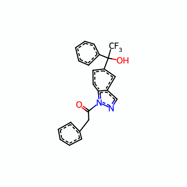 O=C(Cc1ccccc1)n1ncc2cc(C(O)(c3ccccc3)C(F)(F)F)ccc21